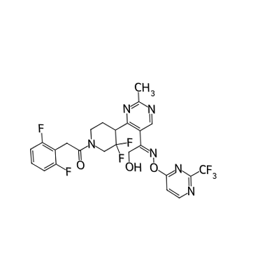 Cc1ncc(C(CO)=NOc2ccnc(C(F)(F)F)n2)c(C2CCN(C(=O)Cc3c(F)cccc3F)CC2(F)F)n1